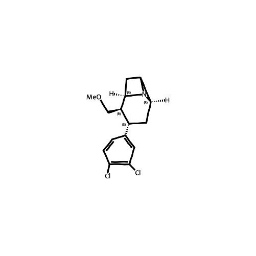 COC[C@@H]1[C@@H](c2ccc(Cl)c(Cl)c2)C[C@@H]2C3C[C@H]1N32